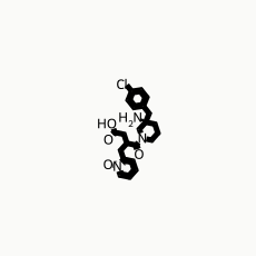 N[C@@]1(Cc2ccc(Cl)cc2)CCCN(C(=O)C(CC(=O)O)Cc2cccc[n+]2[O-])C1